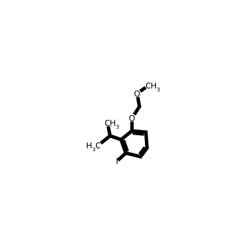 COCOc1cccc(I)c1C(C)C